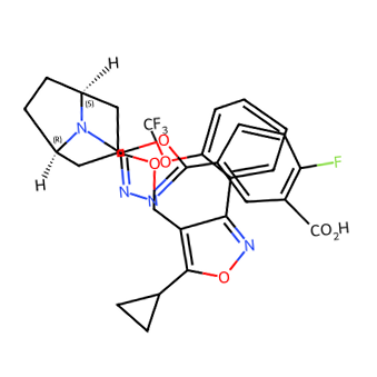 O=C(O)c1cc(-c2nnc(N3[C@@H]4CC[C@H]3CC(OCc3c(-c5ccccc5OC(F)(F)F)noc3C3CC3)C4)o2)ccc1F